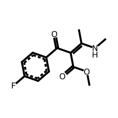 CN/C(C)=C(\C(=O)OC)C(=O)c1ccc(F)cc1